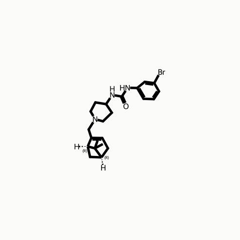 CC1(C)[C@H]2CC=C(CN3CCC(NC(=O)Nc4cccc(Br)c4)CC3)[C@@H]1C2